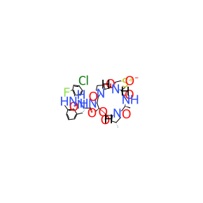 Cc1cccc(C[C@H](NC(=O)Nc2ccc(Cl)cc2F)C(=O)N[C@@H]2C(=O)N3CCC[C@H]3C(=O)N3CC[S+]([O-])C[C@H]3C(=O)N[C@@H](C)C(=O)N3C[C@H](C)C[C@H]3C(=O)O[C@H]2C)c1